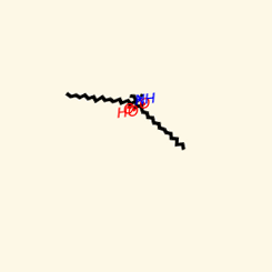 CCCCCCCCCCCCCCCC(=O)C(O)C(CC)(NC)C(=O)CCCCCCCCCCCCCCC